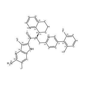 Cc1cc2[nH]c(C(=O)N(Cc3ccc(-c4c(F)cccc4F)cn3)[C@@H]3CCCc4cccnc43)c(F)c2nc1N